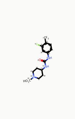 O=C(Nc1ccc(C(F)(F)F)c(F)c1)NC1CCN(C(=O)O)CC1